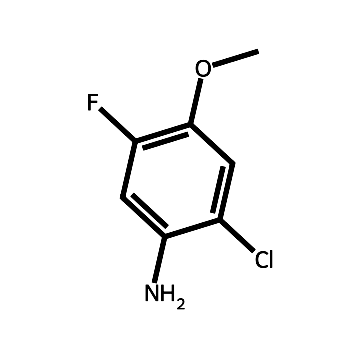 COc1cc(Cl)c(N)cc1F